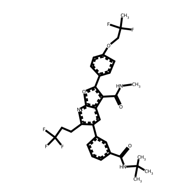 CNC(=O)c1c(-c2ccc(OCC(C)(F)F)cc2)oc2nc(CCC(F)(F)F)c(-c3cccc(C(=O)NC(C)(C)C)c3)cc12